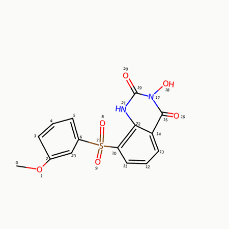 COc1cccc(S(=O)(=O)c2cccc3c(=O)n(O)c(=O)[nH]c23)c1